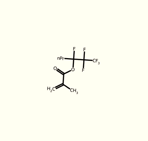 C=C(C)C(=O)OC(F)(CCC)C(F)(F)C(F)(F)F